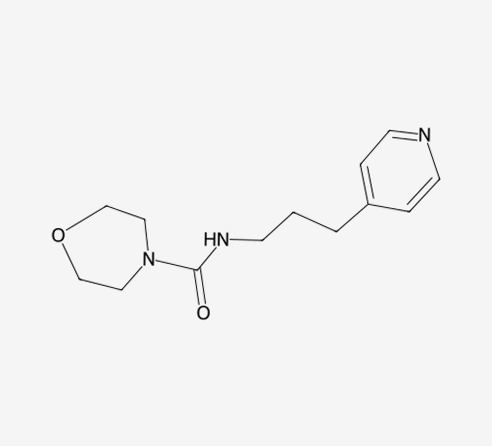 O=C(NCCCc1ccncc1)N1CCOCC1